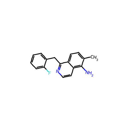 Cc1ccc2c(Cc3ccccc3F)nccc2c1N